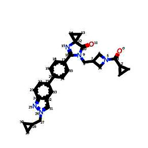 O=C(C1CC1)N1CC(CN2C(=O)C3(CC3)N=C2c2ccc(-c3ccc4nn(CC5CC5)cc4c3)cc2)C1